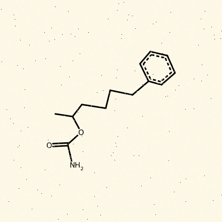 CC(CCCCc1ccccc1)OC(N)=O